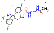 CC(=O)NCCNC(=O)C1CC(Cc2c(-c3ccc(F)cc3)[nH]c3c(F)cc(F)cc23)C1